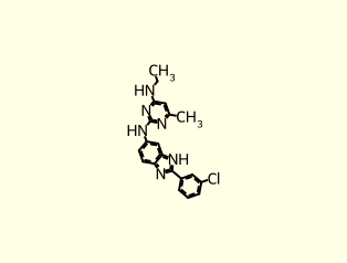 CCNc1cc(C)nc(Nc2ccc3nc(-c4cccc(Cl)c4)[nH]c3c2)n1